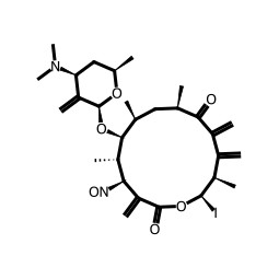 C=C1C(=C)[C@@H](C)[C@@H](I)OC(=O)C(=C)[C@@H](N=O)[C@H](C)[C@@H](O[C@@H]2O[C@H](C)C[C@H](N(C)C)C2=C)[C@@H](C)C[C@@H](C)C1=O